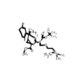 COC(=O)C12CC1C(C)(c1cc(Br)ccc1F)N=C(N(COCC[Si](C)(C)C)C(=O)OC(C)(C)C)S2